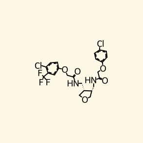 O=C(COc1ccc(Cl)cc1)NC[C@@H]1COC[C@@H]1CNC(=O)COc1ccc(Cl)c(C(F)(F)F)c1